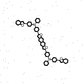 c1ccc(N(c2ccc(-c3cc4ccccc4o3)cc2)c2ccc(-c3cc4cc5cc6cc(-c7ccc(N(c8ccccc8)c8ccc(-c9cc%10ccccc%10o9)cc8)cc7)oc6cc5cc4o3)cc2)cc1